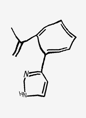 C=C(C)c1ccccc1-c1cc[nH]n1